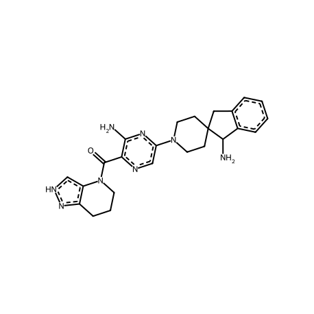 Nc1nc(N2CCC3(CC2)Cc2ccccc2C3N)cnc1C(=O)N1CCCc2n[nH]cc21